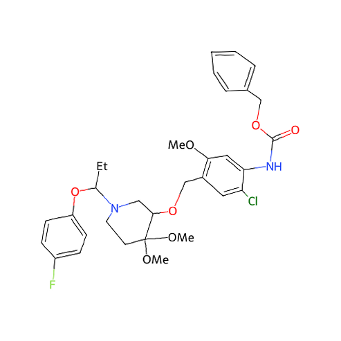 CCC(Oc1ccc(F)cc1)N1CCC(OC)(OC)C(OCc2cc(Cl)c(NC(=O)OCc3ccccc3)cc2OC)C1